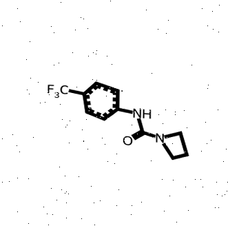 O=C(Nc1[c]cc(C(F)(F)F)cc1)N1CCC1